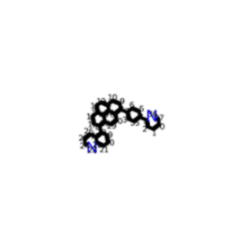 c1ccc(-c2ccc(-c3ccc4ccc5ccc(-c6cccc7ncccc67)c6ccc3c4c56)cc2)nc1